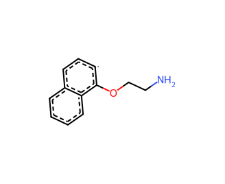 NCCOc1[c]ccc2ccccc12